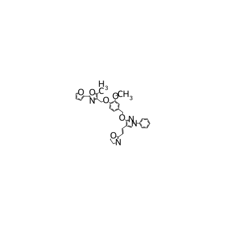 COc1cc(COc2nn(-c3ccccc3)cc2C=CC2=NCCO2)ccc1OCc1nc(-c2ccco2)oc1C